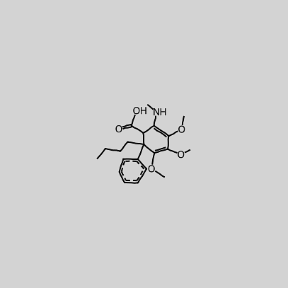 CCCCC1(c2ccccc2)C(OC)=C(OC)C(OC)=C(NC)C1C(=O)O